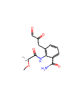 CO[C@H](C)C(=O)Nc1c(CC(=O)C=O)cccc1C(N)=O